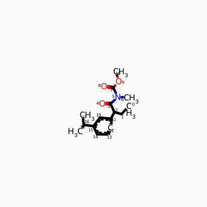 CCC(C(=O)N(C)C(=O)OC)c1cccc(C(C)C)c1